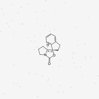 O=C1O[C@]2(CCc3ccccc32)[C@@H]2CCCN12